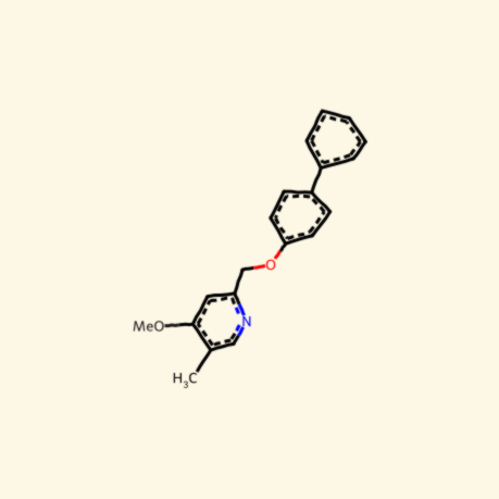 COc1cc(COc2ccc(-c3ccccc3)cc2)ncc1C